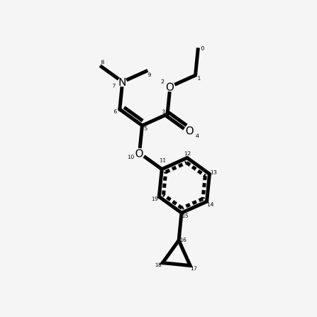 CCOC(=O)C(=CN(C)C)Oc1cccc(C2CC2)c1